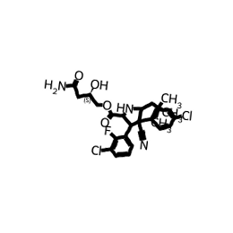 CC(C)(C)CC1NC(C(=O)OC[C@@H](O)CC(N)=O)C(c2cccc(Cl)c2F)C1(C#N)c1ccc(Cl)cc1